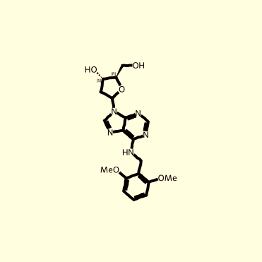 COc1cccc(OC)c1CNc1ncnc2c1ncn2C1C[C@H](O)[C@@H](CO)O1